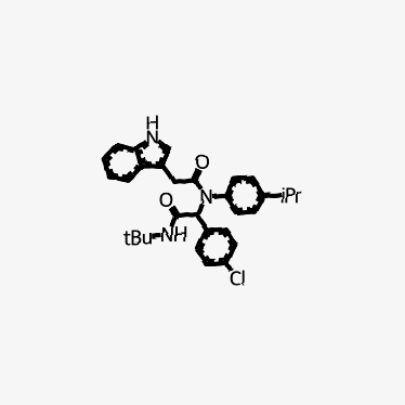 CC(C)c1ccc(N(C(=O)Cc2c[nH]c3ccccc23)C(C(=O)NC(C)(C)C)c2ccc(Cl)cc2)cc1